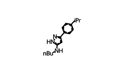 CCCCNc1cc(-c2ccc(C(C)C)cc2)n[nH]1